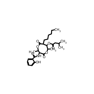 CCCCCCC1C(=O)OC(C)C(NC(=O)c2ccccc2O)C(=O)OC(C)C1OC(=O)CC(C)C